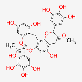 CO[C@@H]1Cc2c(O)cc3c(c2OC1c1cc(O)c(O)c(O)c1)Cc1c(O)cc(O)cc1O[C@](c1cc(O)c(O)c(O)c1)([C@@H](C)O)O3